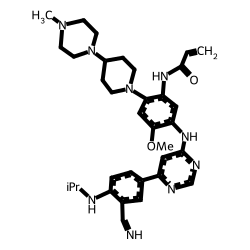 C=CC(=O)Nc1cc(Nc2cc(-c3ccc(NC(C)C)c(C=N)c3)ncn2)c(OC)cc1N1CCC(N2CCN(C)CC2)CC1